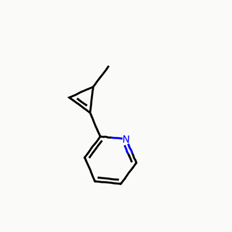 CC1C=C1c1ccccn1